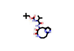 CC(C)C(NC(=O)OCC(C)(C)C)C(=O)NC1Cc2ccnc(n2)CCCNC(=O)C1=O